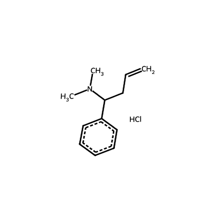 C=CCC(c1ccccc1)N(C)C.Cl